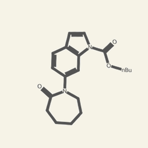 CCCCOC(=O)n1ccc2ccc(N3CCCCCC3=O)cc21